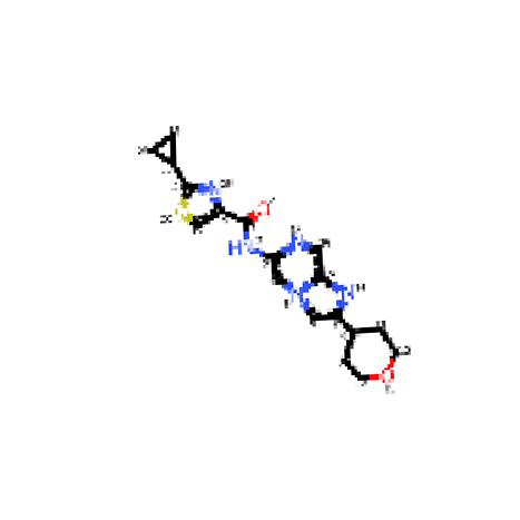 O=C(Nc1cn2cc(C3CCOCC3)nc2cn1)c1csc(C2CC2)n1